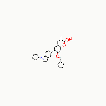 CC(Cc1ccc(OCC2CCCC2)c(-c2ccc3c(ccn3C3CCCC3)c2)c1)C(=O)O